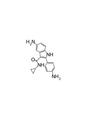 Nc1ccc(-c2[nH]c3ccc(N)cc3c2C(=O)NC2CC2)cc1